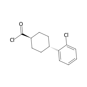 O=C(Cl)[C@H]1CC[C@H](c2ccccc2Cl)CC1